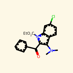 CCOC(=O)n1c(C(=O)c2ccccc2)c(N(C)C)c2ccc(Cl)cc21